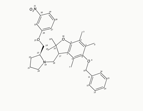 Cc1c(C)c2c(c(C)c1OCc1ccccc1)C(CN1CCC[C@H]1COc1cccc([N+](=O)[O-])c1)C(C)(C)O2